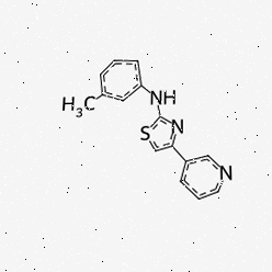 Cc1cccc(Nc2nc(-c3cccnc3)cs2)c1